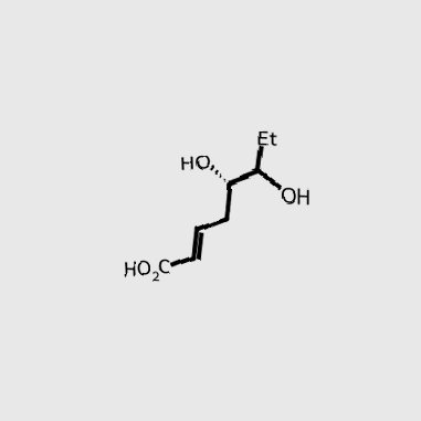 CCC(O)[C@@H](O)CC=CC(=O)O